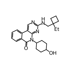 CCC1(CNc2ncc3c4ccccc4c(=O)n(C4CCC(O)CC4)c3n2)CCC1